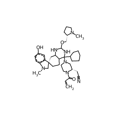 C=CC(=O)N1CCN(C2(C3CCCCC3)NC(OC[C@@H]3CCCN3C)NC3C[C@]4(CCC32)CN(C)c2ccc(O)cc24)C[C@@H]1CC#N